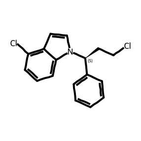 ClCC[C@@H](c1ccccc1)n1ccc2c(Cl)cccc21